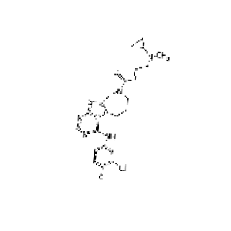 CN(CC=CC(=O)N1CCCc2c(sc3ncnc(Nc4ccc(Cl)c(Cl)c4)c23)C1)C1CC1